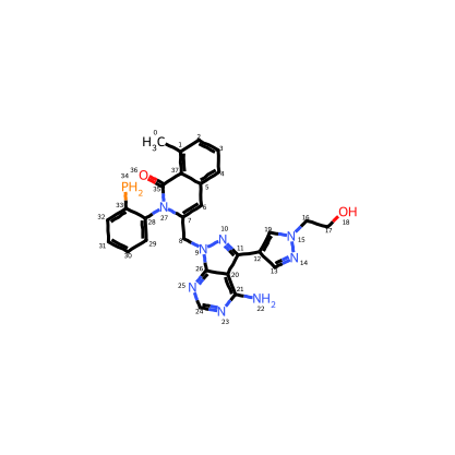 Cc1cccc2cc(Cn3nc(-c4cnn(CCO)c4)c4c(N)ncnc43)n(-c3ccccc3P)c(=O)c12